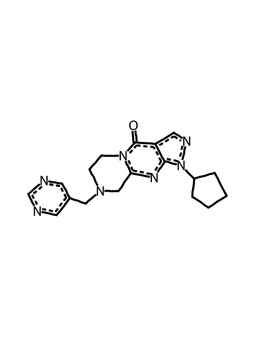 O=c1c2cnn(C3CCCC3)c2nc2n1CCN(Cc1cncnc1)C2